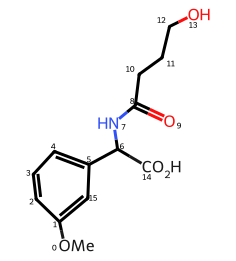 COc1cccc(C(NC(=O)CCCO)C(=O)O)c1